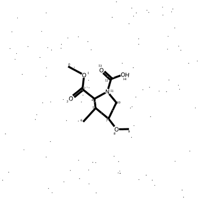 COC(=O)C1C(C)C(OC)CN1C(=O)O